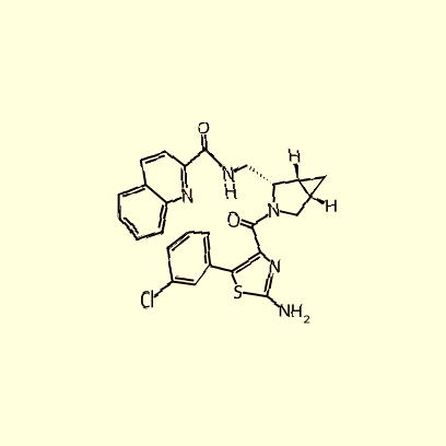 Nc1nc(C(=O)N2C[C@H]3C[C@H]3[C@H]2CNC(=O)c2ccc3ccccc3n2)c(-c2cccc(Cl)c2)s1